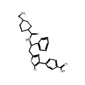 NCC1CCC(C(=O)NC(Cc2cc(-c3ccc(C(=O)O)cc3)c(Cl)s2)c2ccccc2)CC1